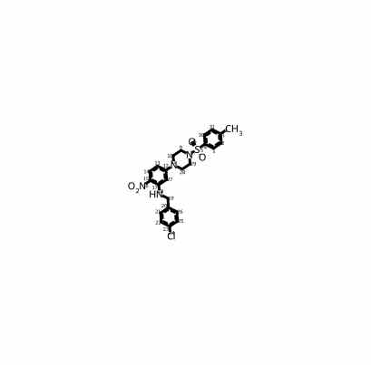 Cc1ccc(S(=O)(=O)N2CCN(c3ccc([N+](=O)[O-])c(NCc4ccc(Cl)cc4)c3)CC2)cc1